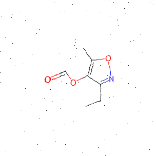 CCc1noc(C)c1OC=O